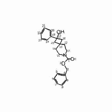 O=C(OCc1ccccc1)N1CCC2(CC1)CC(O)(c1ccccc1)C2